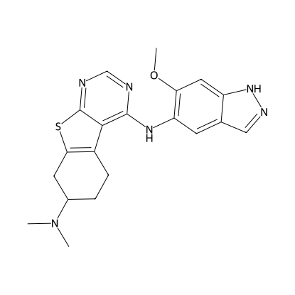 COc1cc2[nH]ncc2cc1Nc1ncnc2sc3c(c12)CCC(N(C)C)C3